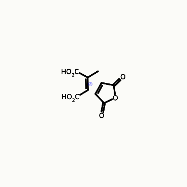 C/C(=C/C(=O)O)C(=O)O.O=C1C=CC(=O)O1